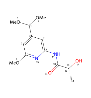 COc1cc(C(OC)OC)cc(NC(=O)[C@@H](C)O)n1